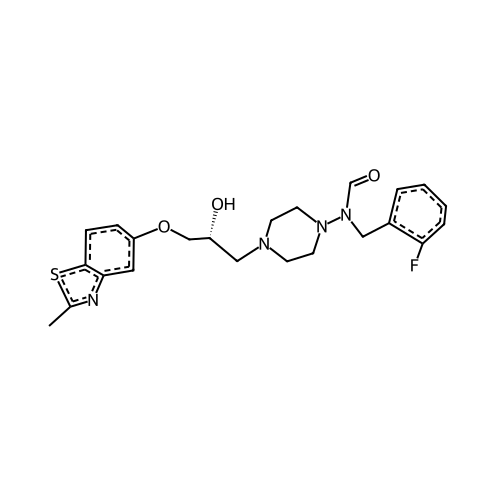 Cc1nc2cc(OC[C@H](O)CN3CCN(N(C=O)Cc4ccccc4F)CC3)ccc2s1